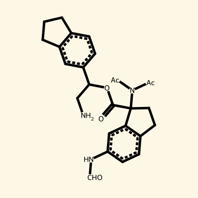 CC(=O)N(C(C)=O)C1(C(=O)OC(CN)c2ccc3c(c2)CCC3)CCc2ccc(NC=O)cc21